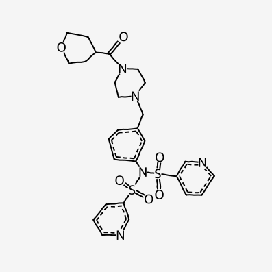 O=C(C1CCOCC1)N1CCN(Cc2cccc(N(S(=O)(=O)c3cccnc3)S(=O)(=O)c3cccnc3)c2)CC1